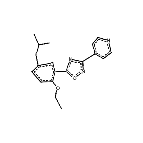 CCOc1ccc(CC(C)C)cc1-c1nc(-c2ccncc2)no1